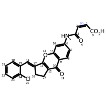 O=C(O)/C=C\C(=O)Nc1ccc2c(=O)c3c(oc2c1)C(=Cc1ccccc1Cl)CC3